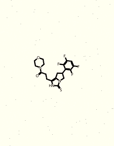 O=C(CCc1[nH]c(=S)n2c1CC(c1c(F)c(F)cc(F)c1F)C2)N1CCOCC1